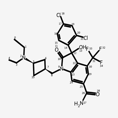 CCN(CC)[C@H]1C[C@@H](CN2C(=O)C(O)(c3ccc(Cl)cc3Cl)c3c2cc(C(N)=O)cc3C(F)(F)F)C1